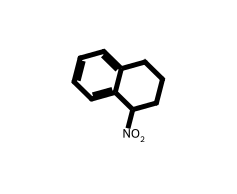 O=[N+]([O-])C1CC[CH]c2ccccc21